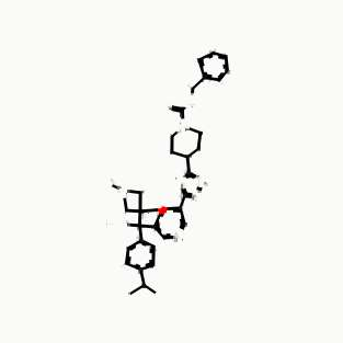 CC(C)c1ccc(C(O)(c2cncc(-c3nc(C4CCN(C(=O)OCc5ccccc5)CC4)no3)c2)C2(C)CN(C)C2)cc1